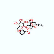 CC12C[C@@]3(O)O[C@H](O1)C1(COC(=O)c4ccccc4)[C@@H]3CC21OC1OC(CO)C(O)C(O)C1O